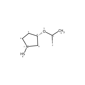 CC(I)O[C@H]1CCN(S)C1